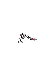 CC(=O)[O-].CC(=O)[O-].CC(=O)[O-].CC(=O)[O-].CC(=O)[O-].[Ce+3].[Mn+2]